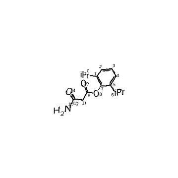 CC(C)c1cccc(C(C)C)c1OC(=O)CC(N)=O